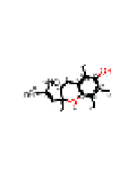 CCCC(=CC1(C)CCc2c(C)c(O)c(C)c(C)c2O1)[N+](=O)[O-]